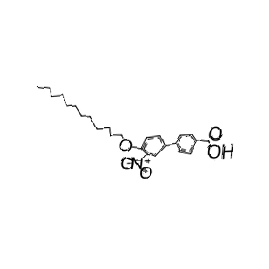 CCCCCCCCCCCCOc1ccc(-c2ccc(C(=O)O)cc2)cc1[N+](=O)[O-]